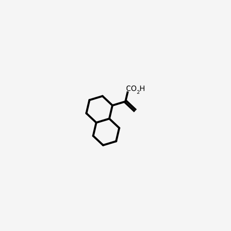 C=C(C(=O)O)C1CCCC2CCCCC21